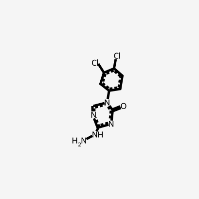 NNc1ncn(-c2ccc(Cl)c(Cl)c2)c(=O)n1